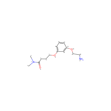 CN(C)C(=O)CCCOc1cccc(OCCN)c1